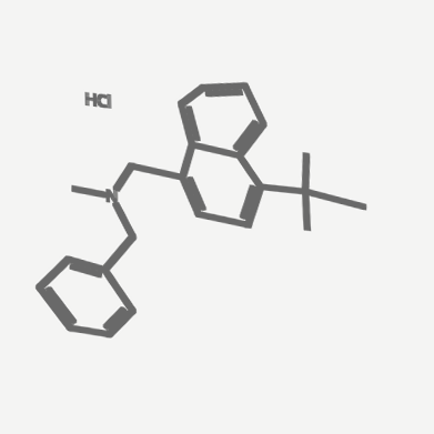 CN(Cc1ccccc1)Cc1ccc(C(C)(C)C)c2ccccc12.Cl